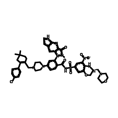 Cn1c(=O)c2nc3[nH]ccc3cc2n1-c1cc(N2CCN(CC3=C(c4ccc(Cl)cc4)CC(C)(C)CC3)CC2)ccc1C(=O)NS(=O)(=O)c1cc2c(c([N+](=O)[O-])c1)N[C@H](CN1CCOCC1)CO2